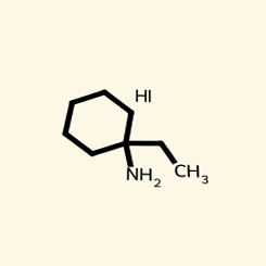 CCC1(N)CCCCC1.I